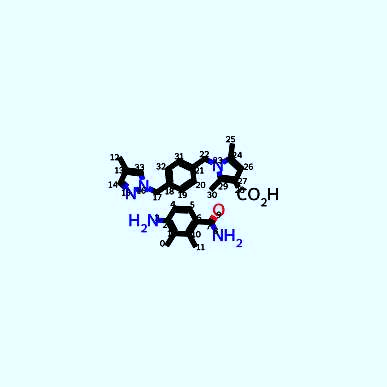 Cc1c(N)ccc(C(N)=O)c1C.Cc1cnn(Cc2ccc(Cn3c(C)cc(C(=O)O)c3C)cc2)c1